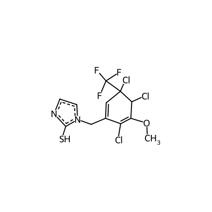 COC1=C(Cl)C(Cn2ccnc2S)=CC(Cl)(C(F)(F)F)C1Cl